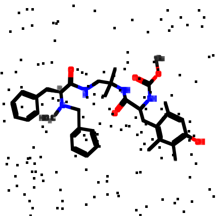 Cc1cc(O)c(C)c(C)c1CC(NC(=O)OC(C)(C)C)C(=O)NC(C)(C)CNC(=O)[C@H](Cc1ccccc1)N(Cc1ccccc1)C(=O)O